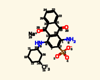 Nc1c(S(=O)(=O)[O-])cc(NC2CCCC(C(F)(F)F)C2)c2c1C(=O)c1ccccc1C2=O.[Na+]